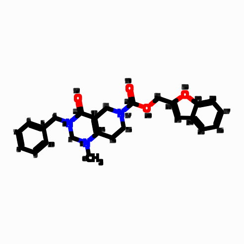 CN1CN(Cc2ccccc2)C(=O)C2=C1CCN(C(=O)OCc1cc3ccccc3o1)C2